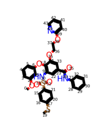 COc1cccc(Oc2c(NS(=O)(=O)c3ccc(SC)cc3)cc(C(=O)Nc3ccccc3)cc2OCCOc2ccccn2)c1